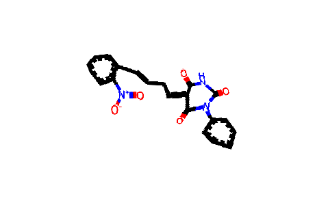 O=C1NC(=O)N(c2ccccc2)C(=O)C1=CCC=Cc1ccccc1[N+](=O)[O-]